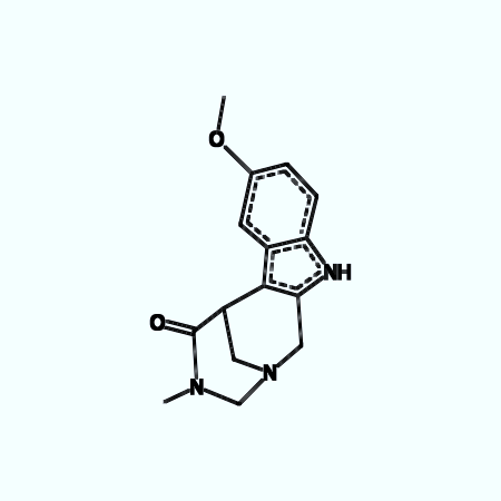 COc1ccc2[nH]c3c(c2c1)C1CN(C3)CN(C)C1=O